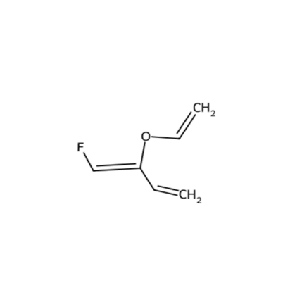 C=CO/C(C=C)=C\F